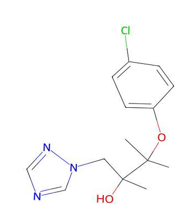 CC(O)(Cn1cncn1)C(C)(C)Oc1ccc(Cl)cc1